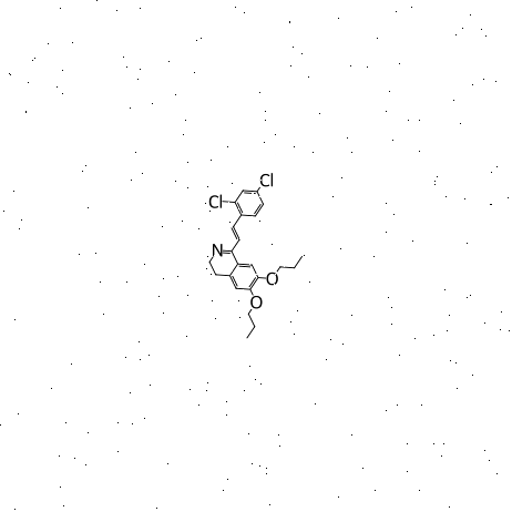 CCCOc1cc2c(cc1OCCC)C(C=Cc1ccc(Cl)cc1Cl)=NCC2